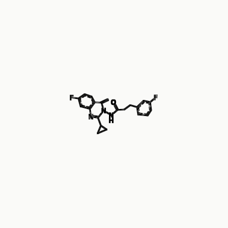 C=C1c2ccc(F)cc2N=C(C2CC2)N1NC(=O)CCc1cccc(F)c1